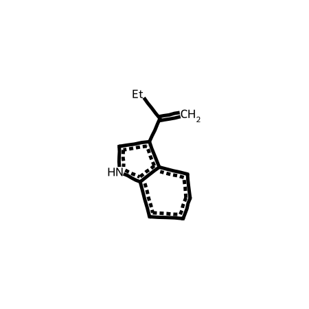 [CH2]CC(=C)c1c[nH]c2ccccc12